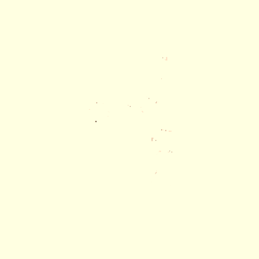 CN(C(=O)NCc1cccc(F)c1Cl)[C@@H](COC(=O)Nc1cc2cc(F)ccc2cn1)CC(F)(F)CN